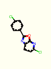 Clc1ccc(-c2nc3ccc(Cl)nc3o2)cc1